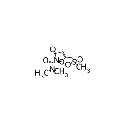 CN(C)C(=O)n1oc(CS(C)(=O)=O)cc1=O